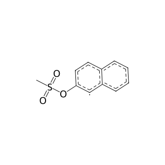 CS(=O)(=O)Oc1[c]c2ccccc2cc1